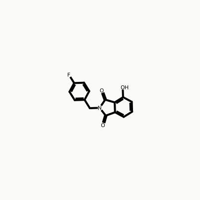 O=C1c2cccc(O)c2C(=O)N1Cc1ccc(F)cc1